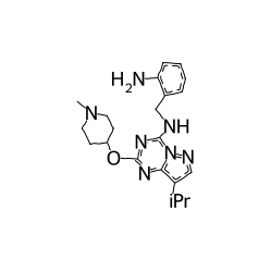 CC(C)c1cnn2c(NCc3ccccc3N)nc(OC3CCN(C)CC3)nc12